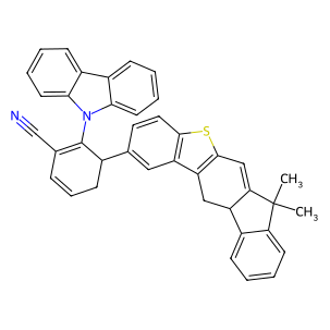 CC1(C)C2=Cc3sc4ccc(C5CC=CC(C#N)=C5n5c6ccccc6c6ccccc65)cc4c3CC2c2ccccc21